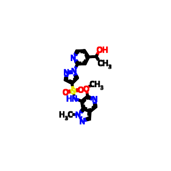 COc1ncc2cnn(C)c2c1NS(=O)(=O)c1cnn(-c2cc(C(C)O)ccn2)c1